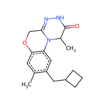 Cc1cc2c(cc1CC1CCC1)N1C(=NNC(=O)C1C)CO2